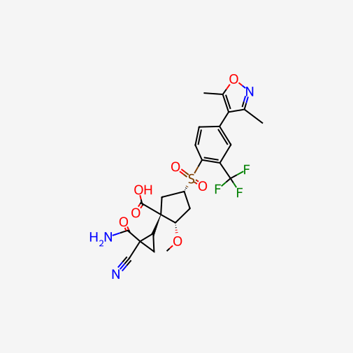 CO[C@H]1C[C@@H](S(=O)(=O)c2ccc(-c3c(C)noc3C)cc2C(F)(F)F)C[C@]1(C(=O)O)C1CC1(C#N)C(N)=O